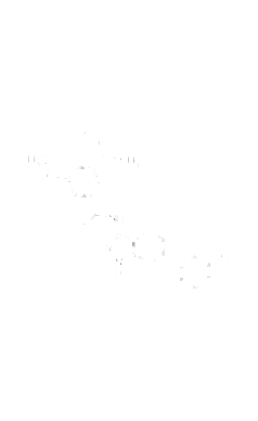 COc1cc(C(=O)Nc2n[nH]c3cc(-c4cccc(Cl)c4)ccc23)cc(OC)c1OC